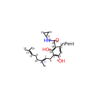 CCCCCc1cc(O)c(C/C=C(\C)CCC=C(C)C)c(O)c1C(=O)NC1CC1